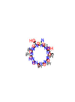 C/C=C/C[C@@H](C)[C@@H](O)[C@H]1C(=O)N[C@@H](CC)C(=O)N(C)[C@H](SCCN(C)C)C(=O)N(C)[C@@H](CCC(C)(C)O)C(=O)N[C@@H](C(C)C)C(=O)N(C)C(CC(C)C)C(=O)N[C@@H](C)C(=O)N[C@H](C)C(=O)N(C)[C@@H](CC(C)C)C(=O)N(C)[C@@H](CC(C)C)C(=O)N(C)[C@@H](C(C)C)C(=O)N1C